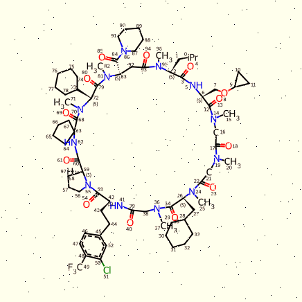 CC(C)C[C@H]1C(=O)N[C@@H](COC2CC2)C(=O)N(C)CC(=O)N(C)CC(=O)N(C)[C@@H](CC2CCCCC2)C(=O)N(C)CC(=O)N[C@@H](CCc2ccc(C(F)(F)F)c(Cl)c2)C(=O)N2CCC[C@H]2C(=O)NC2(CCCC2)C(=O)N(C)[C@@H](C2CCCCC2)C(=O)N(C)[C@H](C(=O)N2CCCCC2)CC(=O)N1C